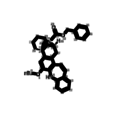 CCCCOc1cc2c(c3c1Nc1ccccc1C=C3)C[C@H]1C3CCCC[C@@]23CCN1C(=O)OCc1ccccc1